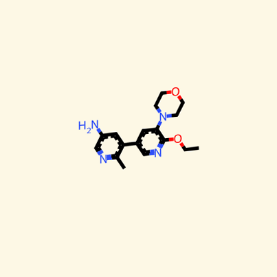 CCOc1ncc(-c2cc(N)cnc2C)cc1N1CCOCC1